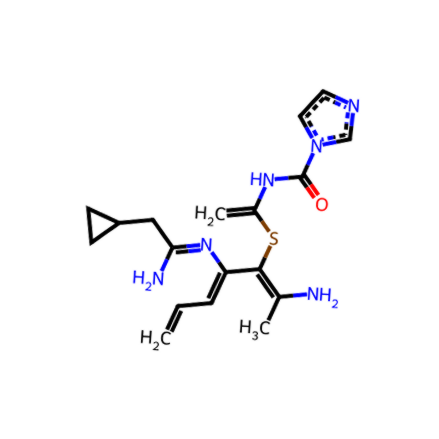 C=C/C=C(\N=C(/N)CC1CC1)C(/SC(=C)NC(=O)n1ccnc1)=C(\C)N